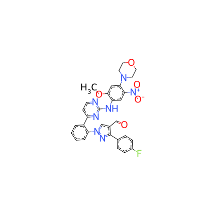 COc1cc(N2CCOCC2)c([N+](=O)[O-])cc1Nc1nccc(-c2ccccc2-n2cc(C=O)c(-c3ccc(F)cc3)n2)n1